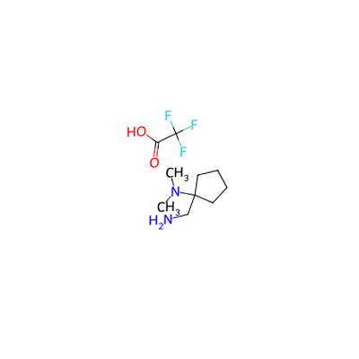 CN(C)C1(CN)CCCC1.O=C(O)C(F)(F)F